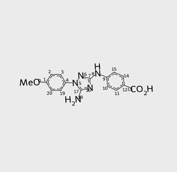 COc1ccc(-n2nc(Nc3ccc(C(=O)O)cc3)nc2N)cc1